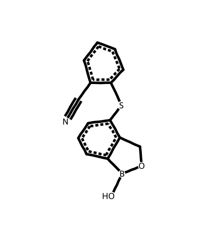 N#Cc1ccccc1Sc1cccc2c1COB2O